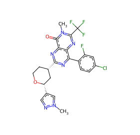 Cn1cc([C@H]2C[C@@H](c3nc(-c4ccc(Cl)cc4F)c4nc(C(F)(F)F)n(C)c(=O)c4n3)CCO2)cn1